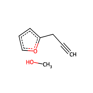 C#CCc1ccco1.CO